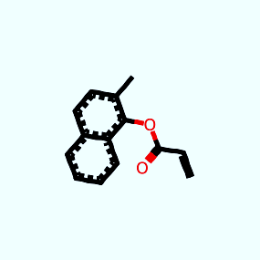 C=CC(=O)Oc1c(C)ccc2ccccc12